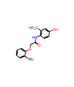 CC(C)(C)c1ccccc1OCC(=O)Nc1ccc(O)cc1C(=O)O